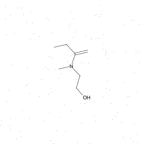 C=C(CC)N(C)CCO